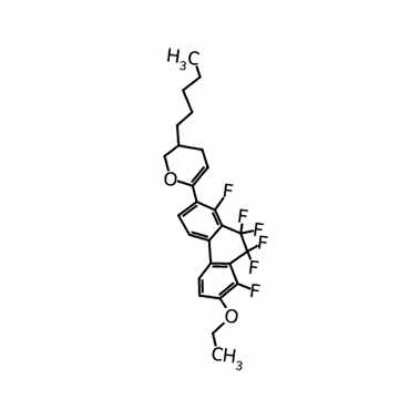 CCCCCC1CC=C(c2ccc3c(c2F)C(F)(F)C(F)(F)c2c-3ccc(OCC)c2F)OC1